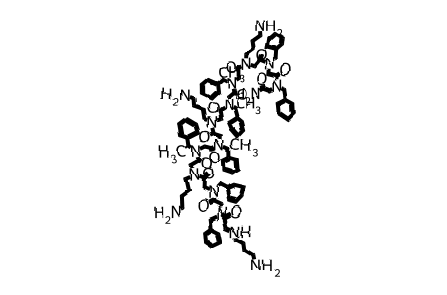 C[C@@H](c1ccccc1)N(CC(=O)N(CCCCN)CC(=O)N(CC(=O)N(CC(=O)N(CCCCN)CC(=O)N(CC(=O)N(CC(N)=O)Cc1ccccc1)Cc1ccccc1)[C@@H](C)c1ccccc1)[C@@H](C)c1ccccc1)C(=O)CN(C(=O)CN(CCCCN)C(=O)CN(Cc1ccccc1)C(=O)CN(Cc1ccccc1)C(=O)CNCCCCN)[C@@H](C)c1ccccc1